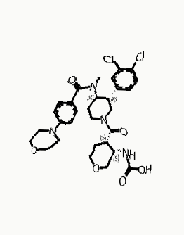 CN(C(=O)c1ccc(N2CCOCC2)cc1)[C@@H]1CCN(C(=O)[C@H]2CCOC[C@H]2NC(=O)O)C[C@H]1c1ccc(Cl)c(Cl)c1